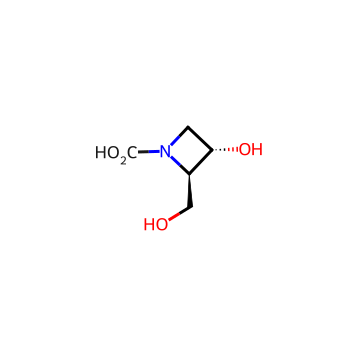 O=C(O)N1C[C@H](O)[C@H]1CO